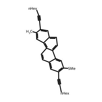 CCCCCCC#Cc1cc2ccc3c4cc(SC)c(C#CCCCCCC)cc4ccc3c2cc1C